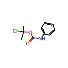 CC(C)(Cl)OC(=O)Nc1ccccc1